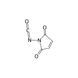 O=C=NN1C(=O)C=CC1=O